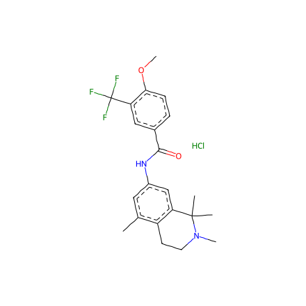 COc1ccc(C(=O)Nc2cc(C)c3c(c2)C(C)(C)N(C)CC3)cc1C(F)(F)F.Cl